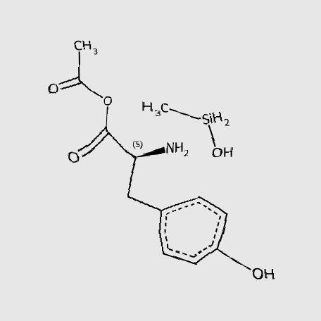 CC(=O)OC(=O)[C@@H](N)Cc1ccc(O)cc1.C[SiH2]O